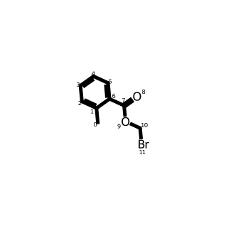 Cc1ccccc1C(=O)OCBr